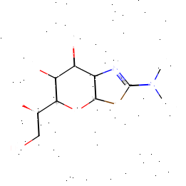 CN(C)C1=NC2C(OC([C@H](O)CO)C(O)C2O)S1